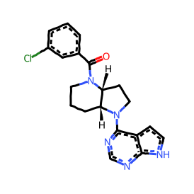 O=C(c1cccc(Cl)c1)N1CCC[C@@H]2[C@H]1CCN2c1ncnc2[nH]ccc12